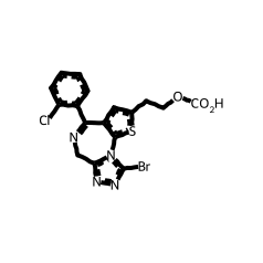 O=C(O)OCCc1cc2c(s1)-n1c(Br)nnc1CN=C2c1ccccc1Cl